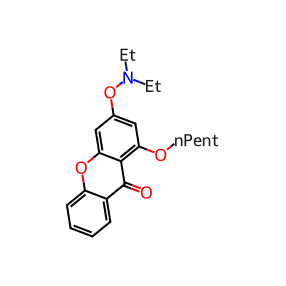 CCCCCOc1cc(ON(CC)CC)cc2oc3ccccc3c(=O)c12